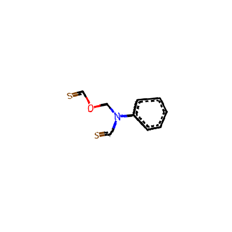 S=[C]N(COC=S)c1ccccc1